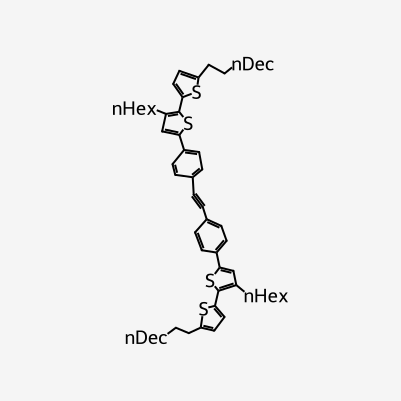 CCCCCCCCCCCCc1ccc(-c2sc(-c3ccc(C#Cc4ccc(-c5cc(CCCCCC)c(-c6ccc(CCCCCCCCCCCC)s6)s5)cc4)cc3)cc2CCCCCC)s1